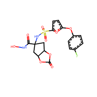 O=C1OC2CC(NS(=O)(=O)c3ccc(Oc4ccc(F)cc4)o3)(C(=O)NO)CC2O1